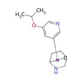 CC(C)Oc1cncc(N2CC3CCC(C2)NC3)c1